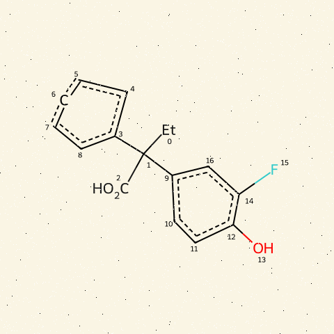 CCC(C(=O)O)(c1ccccc1)c1ccc(O)c(F)c1